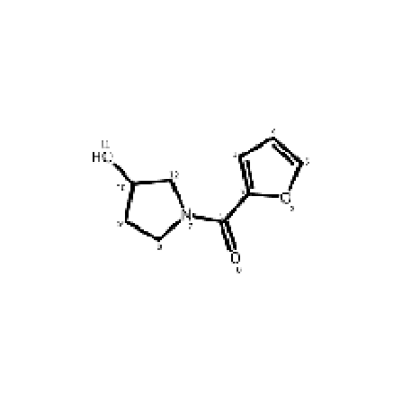 O=C(c1ccco1)N1CCC(O)C1